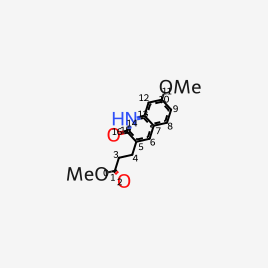 COC(=O)CCc1cc2ccc(OC)cc2[nH]c1=O